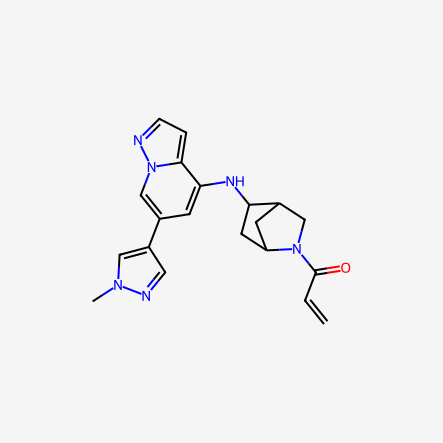 C=CC(=O)N1CC2CC1CC2Nc1cc(-c2cnn(C)c2)cn2nccc12